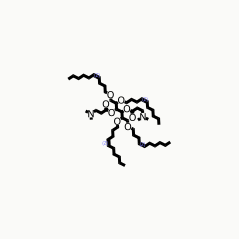 CCCCC/C=C\CCCOCC(OCCC/C=C\CCCCC)C(OC(=O)CCN(C)C)C(OC(=O)CCN(C)C)C(COCCC/C=C\CCCCC)OCCC/C=C\CCCCC